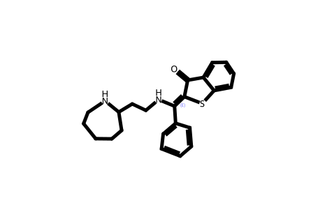 O=C1/C(=C(\NCCC2CCCCCN2)c2ccccc2)Sc2ccccc21